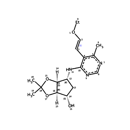 CCO/C=C/c1c(C)ncnc1N[C@@H]1C[C@H](O)[C@H]2OC(C)(C)O[C@H]21